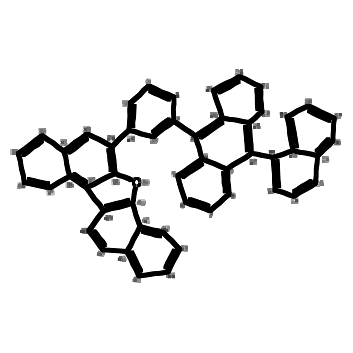 c1cc(-c2c3ccccc3c(-c3cccc4ccccc34)c3ccccc23)cc(-c2cc3ccccc3c3c2oc2c4ccccc4ccc23)c1